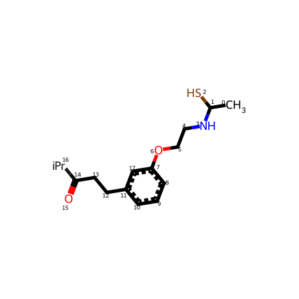 CC(S)NCCOc1cccc(CCC(=O)C(C)C)c1